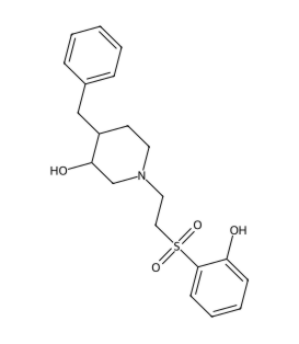 O=S(=O)(CCN1CCC(Cc2ccccc2)C(O)C1)c1ccccc1O